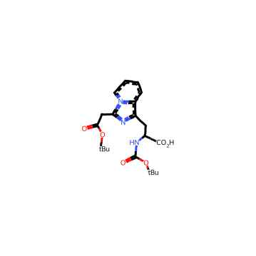 CC(C)(C)OC(=O)Cc1nc(CC(NC(=O)OC(C)(C)C)C(=O)O)c2ccccn12